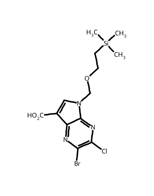 C[Si](C)(C)CCOCn1cc(C(=O)O)c2nc(Br)c(Cl)nc21